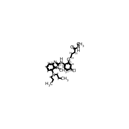 CCCN(CCC)c1cccc2nc(Nc3ccc(Cl)cc3OCCCC(=O)NC)n(C)c12